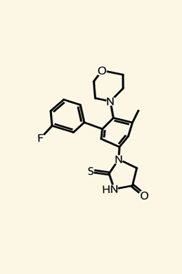 Cc1cc(N2CC(=O)NC2=S)cc(-c2cccc(F)c2)c1N1CCOCC1